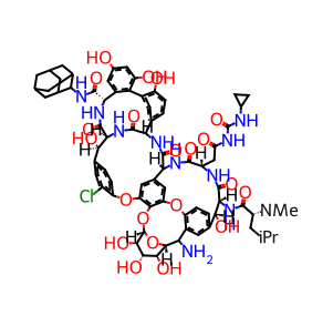 CN[C@H](CC(C)C)C(=O)N[C@H]1C(=O)N[C@@H](CC(=O)NC(=O)NC2CC2)C(=O)N[C@H]2C(=O)N[C@H]3C(=O)N[C@H](C(=O)N[C@H](C(=O)NC4C5CC6CC(C5)CC4C6)c4cc(O)cc(O)c4-c4cc3ccc4O)[C@H](O)c3ccc(c(Cl)c3)Oc3cc2cc2c3O[C@@H]3O[C@H](C(N)c4cc(ccc4O2)[C@H]1O)[C@@H](O)[C@H](O)[C@H]3O